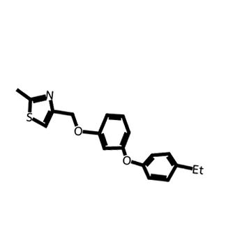 CCc1ccc(Oc2cccc(OCc3csc(C)n3)c2)cc1